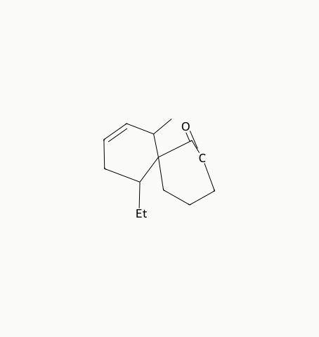 CCC1CC=CC(C)C12CCCCC2=O